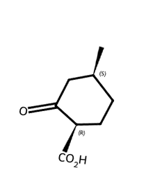 C[C@H]1CC[C@@H](C(=O)O)C(=O)C1